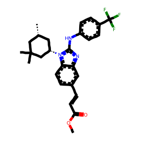 COC(=O)/C=C/c1ccc2c(c1)nc(Nc1ccc(C(F)(F)F)cc1)n2[C@H]1C[C@@H](C)CC(C)(C)C1